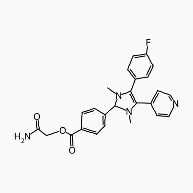 CN1C(c2ccncc2)=C(c2ccc(F)cc2)N(C)C1c1ccc(C(=O)OCC(N)=O)cc1